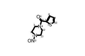 O=NN1CCN(C(=O)c2cccs2)CC1